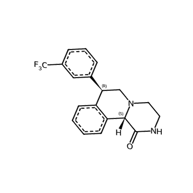 O=C1NCCN2C[C@H](c3cccc(C(F)(F)F)c3)c3ccccc3[C@@H]12